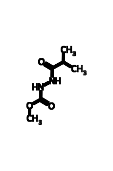 COC(=O)NNC(=O)C(C)C